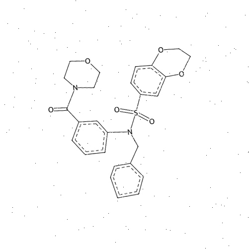 O=C(c1cccc(N(Cc2ccccc2)S(=O)(=O)c2ccc3c(c2)OCCO3)c1)N1CCOCC1